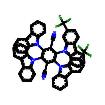 N#Cc1c(-n2c3ccccc3c3ccccc32)c(-n2c3ccccc3c3ccccc32)c(C#N)c(-n2c3ccccc3c3ccc(C(F)(F)F)cc32)c1-n1c2ccccc2c2ccc(C(F)(F)F)cc21